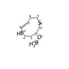 BO[C@@H]1CCB/C=C/CCSC1